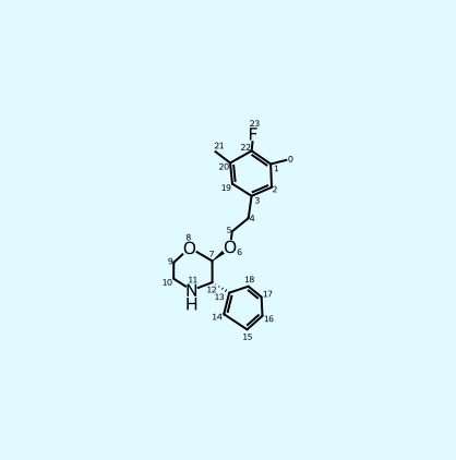 Cc1cc(CCO[C@@H]2OCCN[C@H]2c2ccccc2)cc(C)c1F